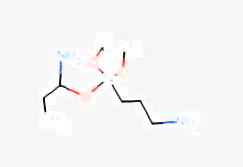 CCC(N)O[Si](CCCN)(OC)OC